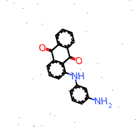 Nc1cccc(Nc2cccc3c2C(=O)c2ccccc2C3=O)c1